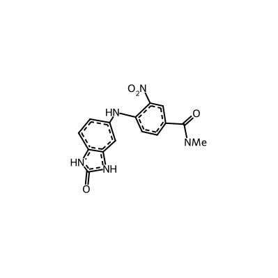 CNC(=O)c1ccc(Nc2ccc3[nH]c(=O)[nH]c3c2)c([N+](=O)[O-])c1